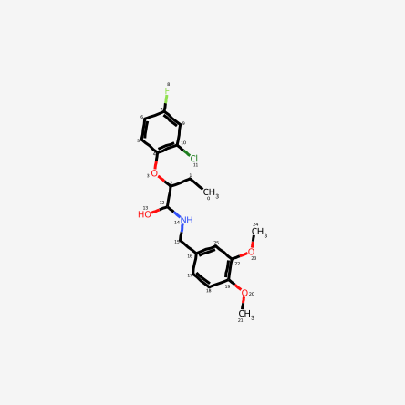 CCC(Oc1ccc(F)cc1Cl)C(O)NCc1ccc(OC)c(OC)c1